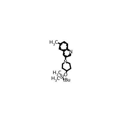 Cc1ccc2ncc(N3CCC(O[Si](C)(C)C(C)(C)C)CC3)cc2c1